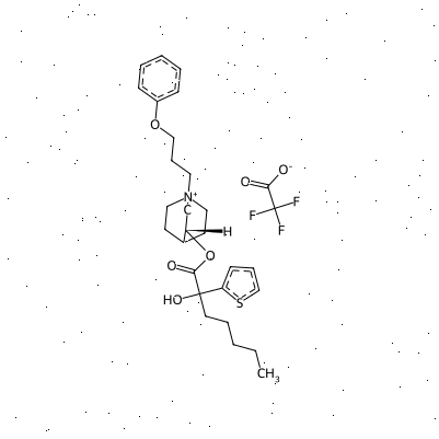 CCCCCC(O)(C(=O)O[C@H]1C[N+]2(CCCOc3ccccc3)CCC1CC2)c1cccs1.O=C([O-])C(F)(F)F